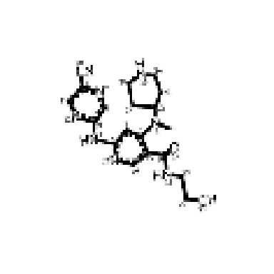 CN(c1cc(Nc2cnc(C#N)cn2)ncc1C(=O)NCCO)C1CCNCC1